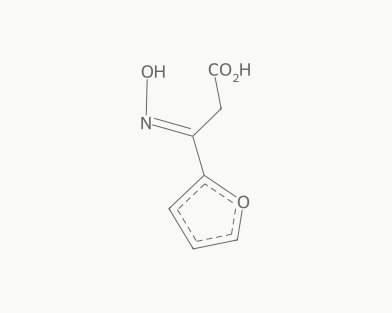 O=C(O)CC(=NO)c1ccco1